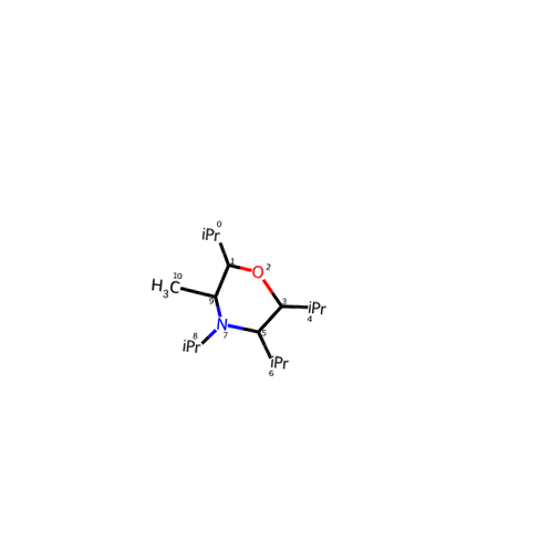 CC(C)C1OC(C(C)C)C(C(C)C)N(C(C)C)C1C